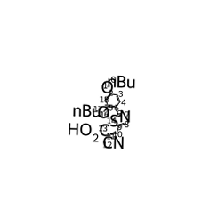 CCCCOc1ccc(-c2ncc(C=C(C#N)C(=O)O)s2)c(OCCCC)c1